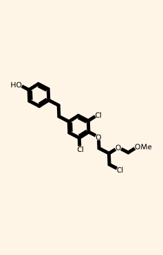 COCOC(CCl)COc1c(Cl)cc(CCc2ccc(O)cc2)cc1Cl